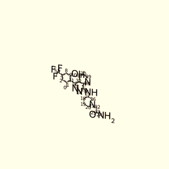 Cc1cc(C(F)(F)F)cc(O)c1-c1nnc(NC2CCCN(CC(N)=O)C2)c2ncccc12